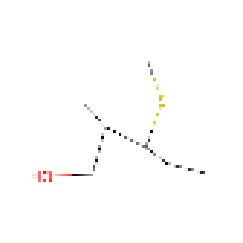 CCC(SC)C(C)CO